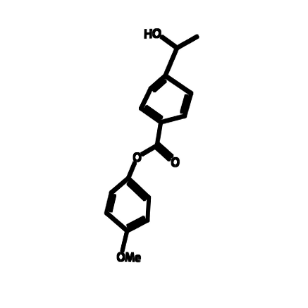 COc1ccc(OC(=O)c2ccc(C(C)O)cc2)cc1